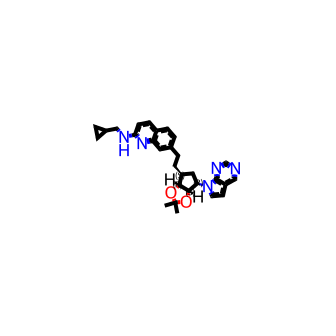 CC1(C)O[C@@H]2[C@@H](CCc3ccc4ccc(NCC5CC5)nc4c3)C[C@@H](n3ccc4cncnc43)[C@@H]2O1